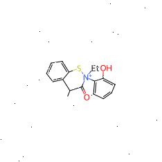 CC[N+]1(c2ccccc2O)Sc2ccccc2C(C)C1=O